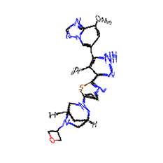 COc1cc(-c2[nH]nc(-c3ncc(N4C[C@@H]5C[C@H]4CN5C4COC4)s3)c2C(C)C)cn2ncnc12